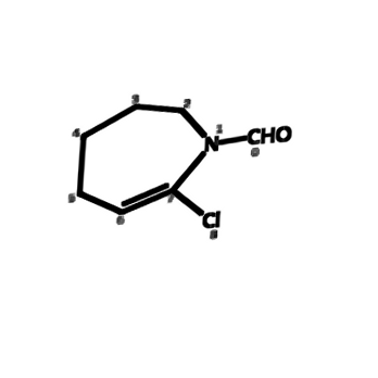 O=CN1CCCCC=C1Cl